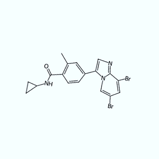 Cc1cc(-c2cnc3c(Br)cc(Br)cn23)ccc1C(=O)NC1CC1